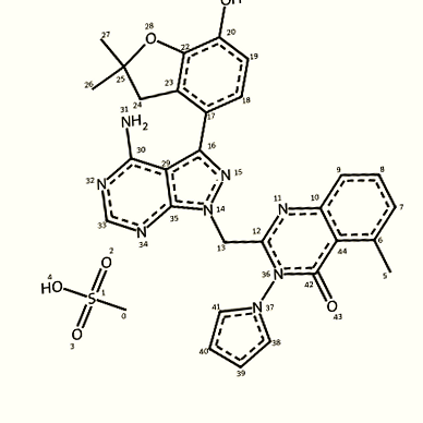 CS(=O)(=O)O.Cc1cccc2nc(Cn3nc(-c4ccc(O)c5c4CC(C)(C)O5)c4c(N)ncnc43)n(-n3cccc3)c(=O)c12